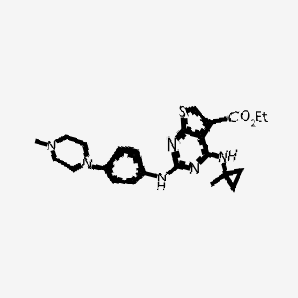 CCOC(=O)c1csc2nc(Nc3ccc(N4CCN(C)CC4)cc3)nc(NC3(C)CC3)c12